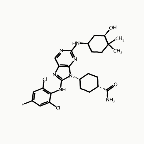 CC1(C)CC[C@@H](Nc2ncc3nc(Nc4c(Cl)cc(F)cc4Cl)n([C@H]4CC[C@@H](C(N)=O)CC4)c3n2)C[C@H]1O